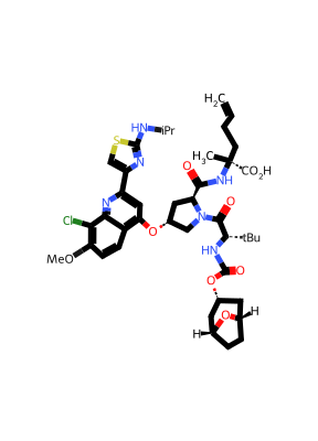 C=CCC[C@](C)(NC(=O)[C@@H]1C[C@@H](Oc2cc(-c3csc(NC(C)C)n3)nc3c(Cl)c(OC)ccc23)CN1C(=O)[C@@H](NC(=O)O[C@H]1C[C@H]2CC[C@@H](C1)O2)C(C)(C)C)C(=O)O